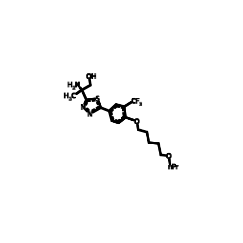 CCCOCCCCCOc1ccc(-c2nnc(C(C)(N)CO)s2)cc1C(F)(F)F